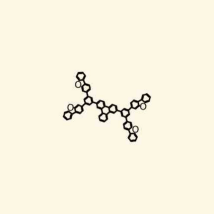 c1ccc2c(c1)oc1cc(-c3cc(-c4ccc5c(c4)oc4ccccc45)cc(-c4ccc5c6ccc(-c7cc(-c8ccc9c(c8)oc8ccccc89)cc(-c8ccc9c(c8)oc8ccccc89)c7)cc6c6ccccc6c5c4)c3)ccc12